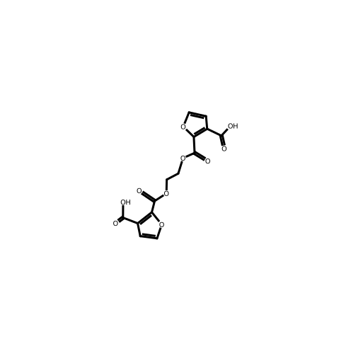 O=C(O)c1ccoc1C(=O)OCCOC(=O)c1occc1C(=O)O